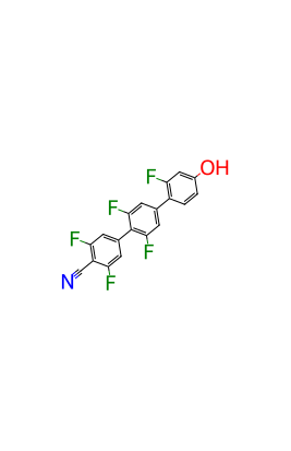 N#Cc1c(F)cc(-c2c(F)cc(-c3ccc(O)cc3F)cc2F)cc1F